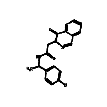 CC(NC(=O)Cn1nnc2ccccc2c1=O)c1ccc(Cl)cc1